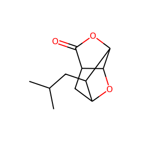 CC(C)CC1C2CC3C(=O)OC1C3O2